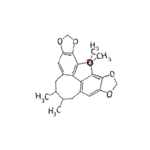 COc1c2c(cc3c1-c1c(cc4c(c1OC)OCO4)CC(C)C(C)C3)OCO2